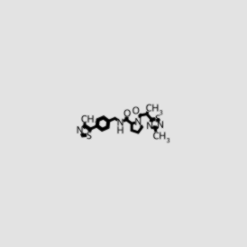 Cc1nsc(C(C)C(=O)N2CCCC2C(=O)NCc2ccc(-c3scnc3C)cc2)n1